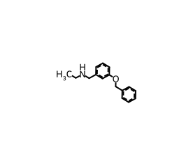 CCNCc1cccc(OCc2ccccc2)c1